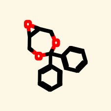 c1ccc(C2(c3ccccc3)OCC3OC3CO2)cc1